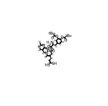 CC(=C(CC=C(S)S)CCOC(=O)C(N)Cc1ccc(OC(=O)C(C)(C)C)c(OC(=O)C(C)(C)C)c1)N(C=O)Cc1cnc(C)nc1N